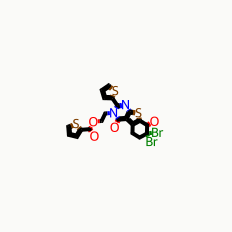 O=C(OCCn1c(-c2cccs2)nc2sc3c(c2c1=O)CCC(Br)(Br)C3=O)c1cccs1